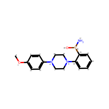 COc1ccc(N2CCN(c3ccccc3[S+](N)[O-])CC2)cc1